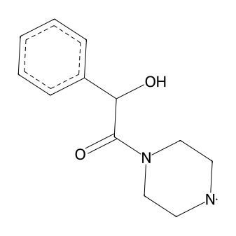 O=C(C(O)c1ccccc1)N1CC[N]CC1